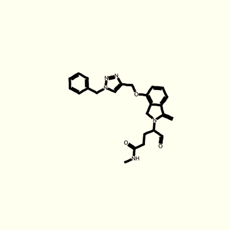 C=C1c2cccc(OCc3cn(Cc4ccccc4)nn3)c2CN1C(C=O)CCC(=O)NC